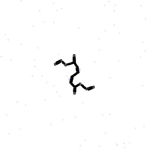 O=POC(=O)/C=C\C=C/C(=O)OP=O